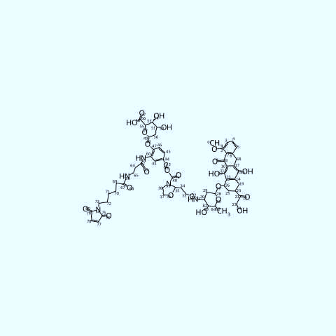 COc1cccc2c1C(=O)c1c(O)c3c(c(O)c1C2)CC(C(=O)CO)CC3OC1CC(NCCCC2OCCN2C(=O)OCc2ccc(OC3CC(O)[C@H](O)C(C(=O)O)O3)c(NC(=O)CCNC(=O)CCCCCN3C(=O)C=CC3=O)c2)C(O)C(C)O1